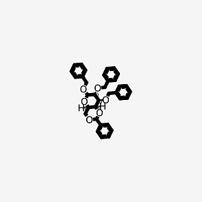 c1ccc(COC2O[C@@H]3COC(c4ccccc4)O[C@@H]3[C@H](OCc3ccccc3)[C@H]2OCc2ccccc2)cc1